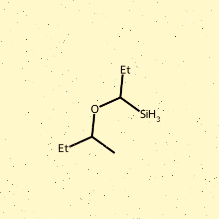 [CH2]CC([SiH3])OC(C)CC